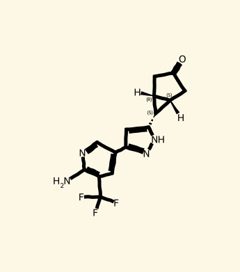 Nc1ncc(-c2cc([C@@H]3[C@@H]4CC(=O)C[C@@H]43)[nH]n2)cc1C(F)(F)F